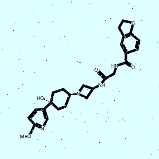 COc1ccc([C@]2(O)CC[C@H](N3CC(NC(=O)CNC(=O)c4ccc5c(c4)CCO5)C3)CC2)cn1